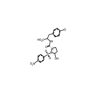 O=C(O)C(Cc1ccc(Cl)cc1)NC(=O)[C@@H]1CCC(O)N1S(=O)(=O)c1ccc([N+](=O)[O-])cc1